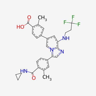 Cc1cc(-c2cc(NCCC(F)(F)F)c3ncc(-c4ccc(C(=O)NC5CC5)c(C)c4)n3c2)ccc1C(=O)O